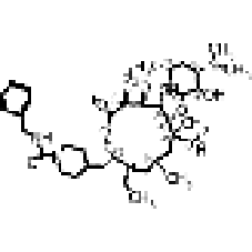 CCN1C[C@H](C)C[C@@](C)(OC)[C@H](O[C@@H]2O[C@H](C)C[C@H](N(C)C)[C@H]2O)[C@@H](C)C(=O)C(C)(C)C(=O)OC[C@H]1CC1CCN(C(=O)NCc2ccccc2)CC1